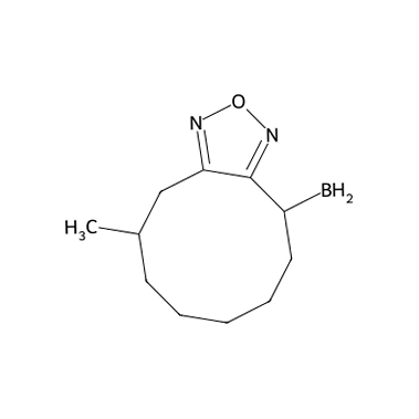 BC1CCCCCC(C)Cc2nonc21